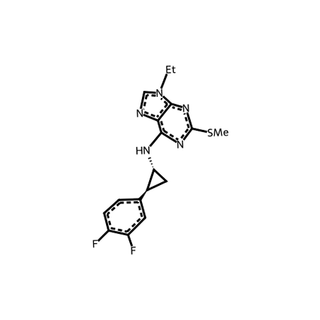 CCn1cnc2c(N[C@@H]3C[C@H]3c3ccc(F)c(F)c3)nc(SC)nc21